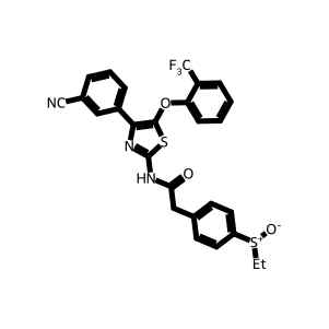 CC[S+]([O-])c1ccc(CC(=O)Nc2nc(-c3cccc(C#N)c3)c(Oc3ccccc3C(F)(F)F)s2)cc1